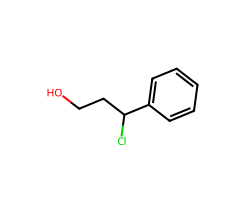 OCCC(Cl)c1ccccc1